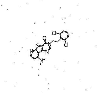 CN(C)c1ccnc2sc3c(=O)n(CCc4c(Cl)cccc4Cl)cnc3c12